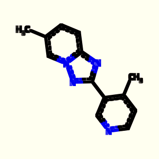 Cc1ccc2nc(-c3cnccc3C)nn2c1